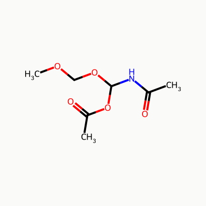 COCOC(NC(C)=O)OC(C)=O